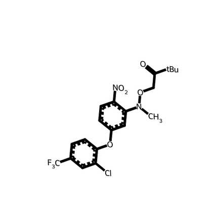 CN(OCC(=O)C(C)(C)C)c1cc(Oc2ccc(C(F)(F)F)cc2Cl)ccc1[N+](=O)[O-]